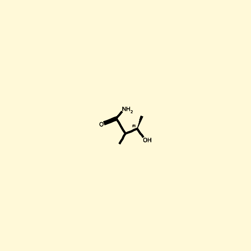 CC(C(N)=O)[C@@H](C)O